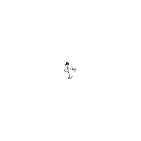 [Ag].[Br][Cu][Br]